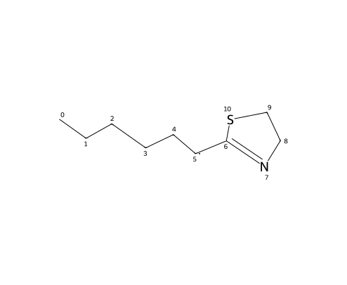 CCCCC[CH]C1=NCCS1